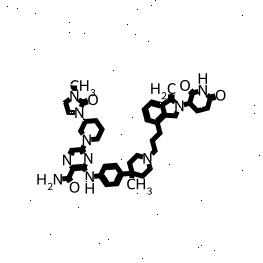 C=C1c2cccc(CCCN3CCC(C)(c4ccc(Nc5nc(N6CCC[C@@H](N7CCN(C)C7=O)C6)cnc5C(N)=O)cc4)CC3)c2CN1C1CCC(=O)NC1=O